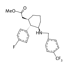 COC(=O)C[C@H]1CCC[C@@H](NCc2ccc(C(F)(F)F)cc2)[C@@H]1c1ccc(F)cc1